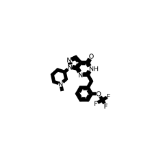 CN1CCCC(n2ncc3c(=O)[nH]c(Cc4ccccc4OC(F)(F)F)nc32)C1